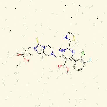 COC(=O)C1=C(CN2CCN3C(=S)N(CC(C)(C)C(=O)O)C[C@@H]3C2)NC(c2nccs2)=N[C@H]1c1cccc(F)c1Cl